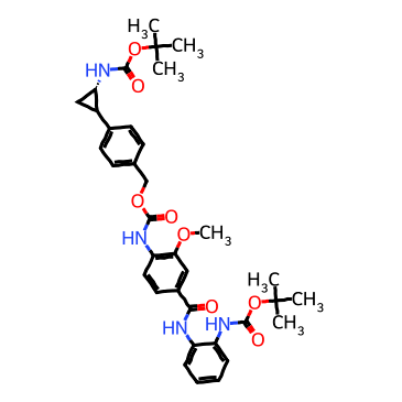 COc1cc(C(=O)Nc2ccccc2NC(=O)OC(C)(C)C)ccc1NC(=O)OCc1ccc(C2C[C@@H]2NC(=O)OC(C)(C)C)cc1